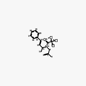 C=C(C)CN(C(=O)C(Cl)(Cl)Cl)C(C)C=Cc1ccccc1